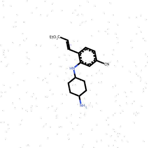 CCOC(=O)/C=C/c1ccc(C#N)cc1NC1CCC(N)CC1